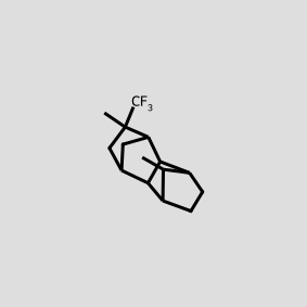 CC1C2CCC1C1C2C2CC1C(C)(C(F)(F)F)C2